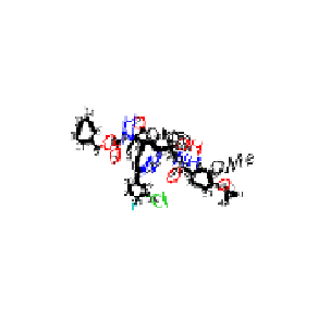 COC(=O)C(C)(NC(=O)OCc1ccccc1)c1cc(-c2ccc(F)c(Cl)c2)nc(C(O)(CNC(=O)c2ccc(OC3CC3)c(OC)c2)C(F)(F)F)c1